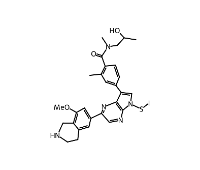 COc1cc(-c2cnc3c(n2)c(-c2ccc(C(=O)N(C)CC(C)O)c(C)c2)cn3SI)cc2c1CNCC2